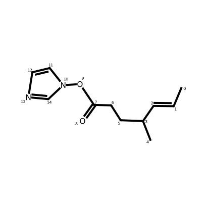 CC=CC(C)CCC(=O)On1ccnc1